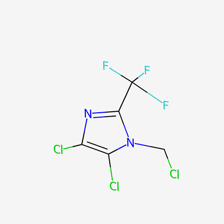 FC(F)(F)c1nc(Cl)c(Cl)n1CCl